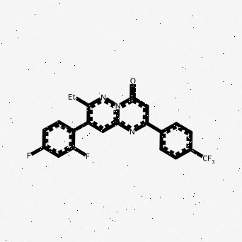 CCc1nn2c(=O)cc(-c3ccc(C(F)(F)F)cc3)nc2cc1-c1ccc(F)cc1F